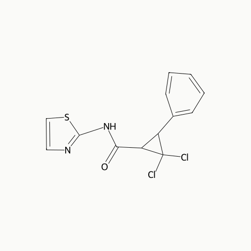 O=C(Nc1nccs1)C1C(c2ccccc2)C1(Cl)Cl